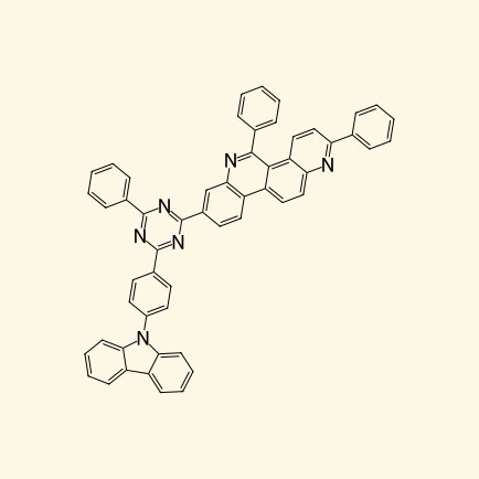 c1ccc(-c2ccc3c(ccc4c5ccc(-c6nc(-c7ccccc7)nc(-c7ccc(-n8c9ccccc9c9ccccc98)cc7)n6)cc5nc(-c5ccccc5)c34)n2)cc1